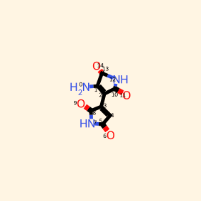 NC1=C(C2=CC(=O)NC2=O)C(=O)NC1=O